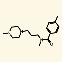 Cc1ccc(C(=O)N(C)CCCN2CCN(C)CC2)cc1